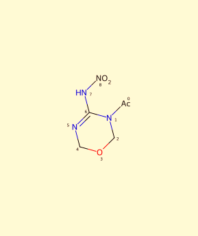 CC(=O)N1COCN=C1N[N+](=O)[O-]